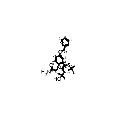 CC(C)(O)Cc1c(SC(C)(C)C)c2cc(OCc3ccccn3)ccc2n1CC(N)=O